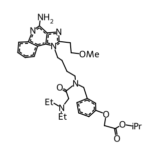 CCN(CC)CC(=O)N(CCCCn1c(CCOC)nc2c(N)nc3ccccc3c21)Cc1cccc(OCC(=O)OC(C)C)c1